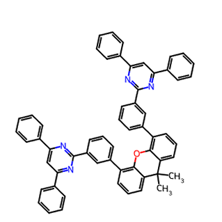 CC1(C)c2cccc(-c3cccc(-c4nc(-c5ccccc5)cc(-c5ccccc5)n4)c3)c2Oc2c(-c3cccc(-c4nc(-c5ccccc5)cc(-c5ccccc5)n4)c3)cccc21